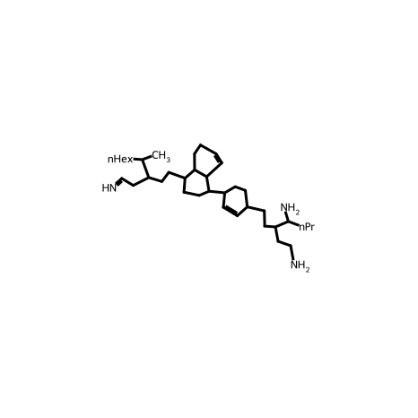 CCCCCCC(C)C(CC=N)CCC1CCC(C2C=CC(CCC(CCN)C(N)CCC)CC2)C2C=CCCC12